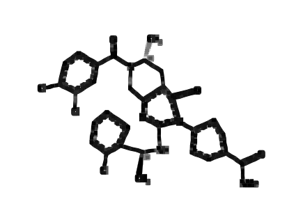 CNC(=O)c1ccc(-n2c(N[C@@H](C)c3ccccc3Cl)nc3c(c2=O)C[C@@H](C)N(C(=O)c2ccc(Cl)c(Cl)c2)C3)cc1